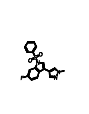 Cn1cc(-c2cn(S(=O)(=O)c3ccccc3)c3cc(F)ccc23)cn1